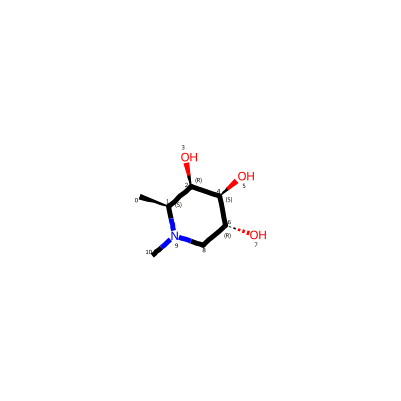 C[C@H]1[C@@H](O)[C@@H](O)[C@H](O)CN1C